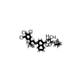 CN(NC(=O)c1ccc(C(F)=CC(c2cc(Cl)c(Cl)c(Cl)c2)C(F)(F)F)c2ccccc12)C(=O)NCC(F)(F)F